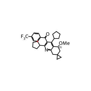 CO[C@H]1CC2(CC2)Cc2nc(C3CCCC3)c(C(=O)c3ccc(C(F)(F)F)cc3)c(C3CCCC3)c21